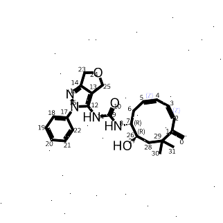 C=C1/C=C\C=C/C[C@@H](NC(=O)Nc2c3c(nn2-c2ccccc2)COC3)[C@H](O)CC1(C)C